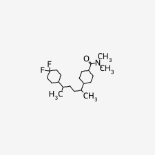 CC(CCC(C)C1CCC(F)(F)CC1)C1CCC(C(=O)N(C)C)CC1